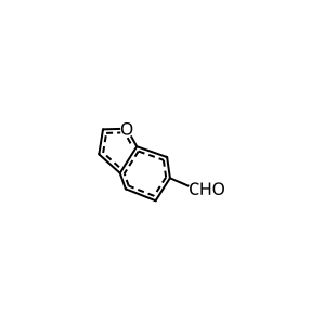 O=Cc1ccc2ccoc2c1